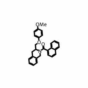 COc1ccc(OCC2Cc3ccccc3CN2C(=O)c2cccc3ccccc23)cc1